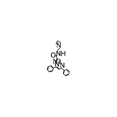 O=C(NCCN1CCC1)c1cc2nc(-c3ccccc3)cc(-c3ccccc3)n2n1